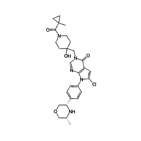 C[C@@H]1COC[C@H](c2ccc(-n3c(Cl)cc4c(=O)n(CC5(O)CCN(C(=O)C6(C)CC6)CC5)cnc43)cc2)N1